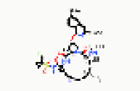 CC[C@@H]1C[C@@H](C)CC/C=C\C2CC2(C(=O)NS(=O)(=O)C2(CF)CC2)NC(=O)[C@@H]2C[C@@H](Oc3nc(OC)cc4cc(OC)ccc34)CN2C(=O)[C@H]1NC(=O)O